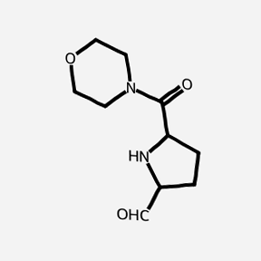 O=CC1CCC(C(=O)N2CCOCC2)N1